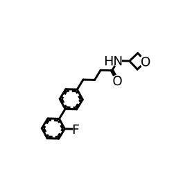 O=C(CCCc1ccc(-c2ccccc2F)cc1)NC1COC1